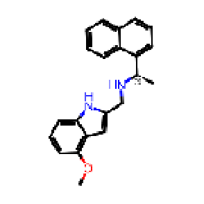 COc1cccc2[nH]c(CN[C@H](C)c3cccc4ccccc34)cc12